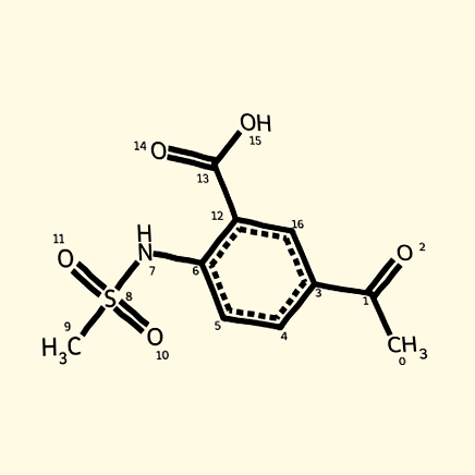 CC(=O)c1ccc(NS(C)(=O)=O)c(C(=O)O)c1